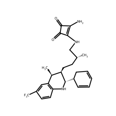 C[C@H](CC[C@@H]1[C@H](C)c2cc(C(F)(F)F)ccc2N[C@H]1C1C=CC=CC1)CNc1c(N)c(=O)c1=O